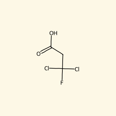 O=C(O)CC(F)(Cl)Cl